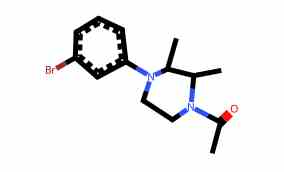 CC(=O)N1CCN(c2cccc(Br)c2)C(C)C1C